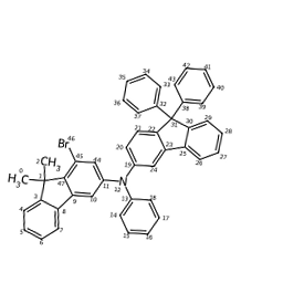 CC1(C)c2ccccc2-c2cc(N(c3ccccc3)c3ccc4c(c3)-c3ccccc3C4(c3ccccc3)c3ccccc3)cc(Br)c21